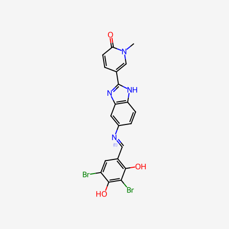 Cn1cc(-c2nc3cc(/N=C/c4cc(Br)c(O)c(Br)c4O)ccc3[nH]2)ccc1=O